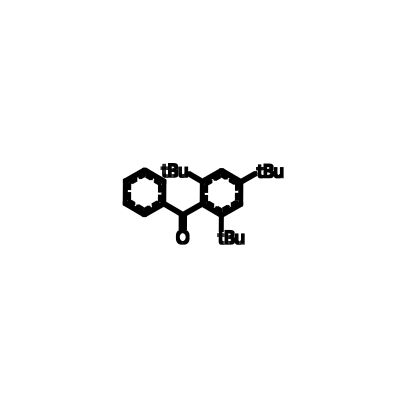 CC(C)(C)c1cc(C(C)(C)C)c(C(=O)c2ccccc2)c(C(C)(C)C)c1